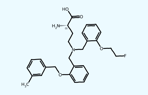 Cc1cccc(COc2ccccc2CN(CC[C@H](N)C(=O)O)Cc2ccccc2OCCF)c1